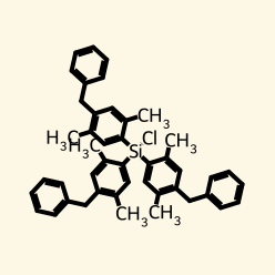 Cc1cc([Si](Cl)(c2cc(C)c(Cc3ccccc3)cc2C)c2cc(C)c(Cc3ccccc3)cc2C)c(C)cc1Cc1ccccc1